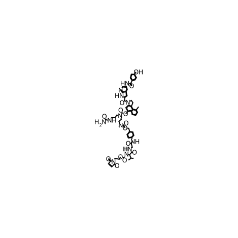 Cc1cccc2c(OC(=O)N(CCCNC(N)=O)CCN(C)C(=O)OCc3ccc(NC(=O)CNC(=O)C(NC(=O)OCCN4C(=O)C=CC4=O)C(C)C)cc3)cc3c(c12)CCN3C(=O)c1cc2cc(NC(=O)c3ccc(O)cc3)cnc2[nH]1